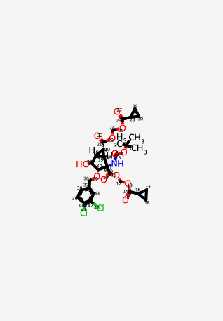 CC(C)(C)OC(=O)N[C@]1(C(=O)OCOC(=O)C2CC2)[C@@H]2[C@@H](C(=O)OCOC(=O)C3CC3)[C@@H]2[C@H](O)[C@H]1OCc1ccc(Cl)c(Cl)c1